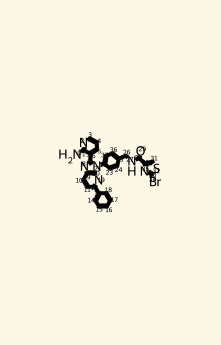 Nc1ncccc1-c1nc2ccc(-c3ccccc3)nc2n1-c1ccc(CNC(=O)c2csc(Br)n2)cc1